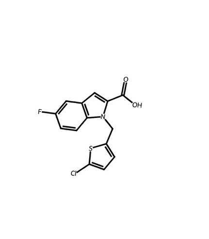 O=C(O)c1cc2cc(F)ccc2n1Cc1ccc(Cl)s1